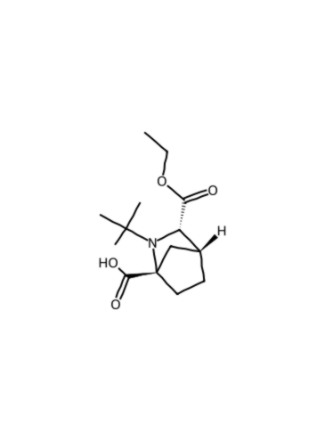 CCOC(=O)[C@@H]1[C@@H]2CC[C@@](C(=O)O)(C2)N1C(C)(C)C